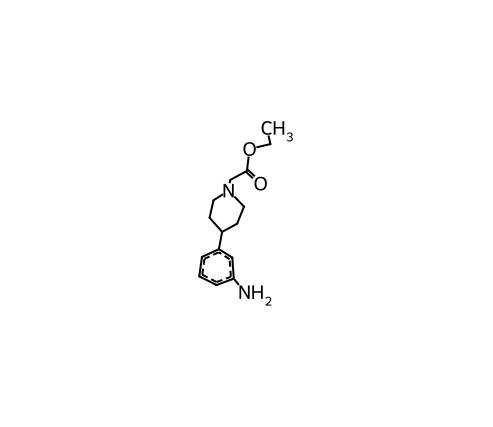 CCOC(=O)CN1CCC(c2cccc(N)c2)CC1